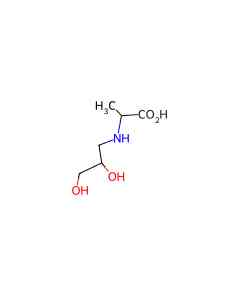 CC(NCC(O)CO)C(=O)O